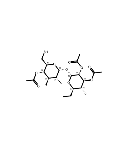 CC[C@H]1O[C@H](O[C@H]2O[C@H](CS)[C@@H](OC(C)=O)[C@H](C)[C@H]2C)[C@H](OC(C)=O)[C@@H](OC(C)=O)[C@@H]1C